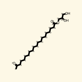 CC(=O)CCCCCCCCCCCCCCCCCC(=O)OCC(O)CO